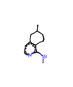 CNc1nccc2c1CCC(C)C2